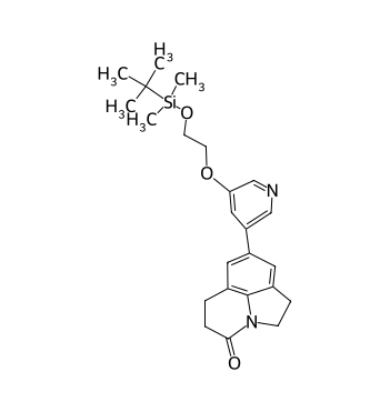 CC(C)(C)[Si](C)(C)OCCOc1cncc(-c2cc3c4c(c2)CCN4C(=O)CC3)c1